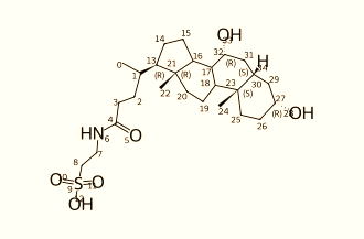 CC(CCC(=O)NCCS(=O)(=O)O)[C@H]1CCC2C3C(CC[C@@]21C)[C@@]1(C)CC[C@@H](O)C[C@H]1C[C@H]3O